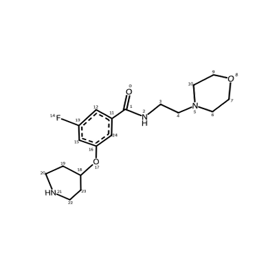 O=C(NCCN1CCOCC1)c1cc(F)cc(OC2CCNCC2)c1